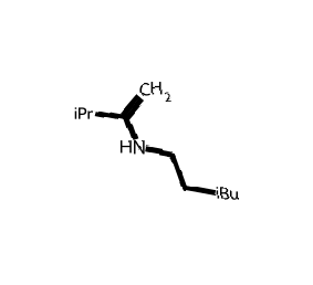 C=C(NCCC(C)CC)C(C)C